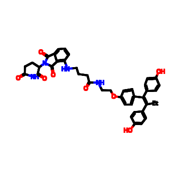 CCC(=C(c1ccc(O)cc1)c1ccc(OCCNC(=O)CCCNc2cccc3c2C(=O)N(C2CCC(=O)NC2=O)C3=O)cc1)c1ccc(O)cc1